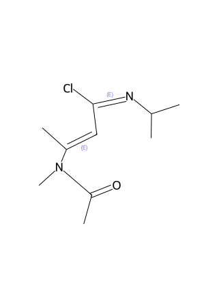 CC(=O)N(C)/C(C)=C/C(Cl)=N\C(C)C